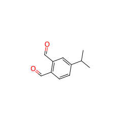 CC(C)c1ccc(C=O)c(C=O)c1